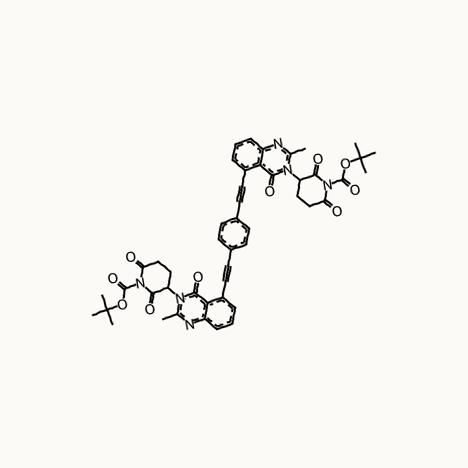 Cc1nc2cccc(C#Cc3ccc(C#Cc4cccc5nc(C)n(C6CCC(=O)N(C(=O)OC(C)(C)C)C6=O)c(=O)c45)cc3)c2c(=O)n1C1CCC(=O)N(C(=O)OC(C)(C)C)C1=O